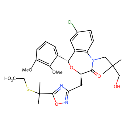 COc1cccc([C@H]2O[C@H](Cc3noc(C(C)(C)SCC(=O)O)n3)C(=O)N(CC(C)(C)CO)c3ccc(Cl)cc32)c1OC